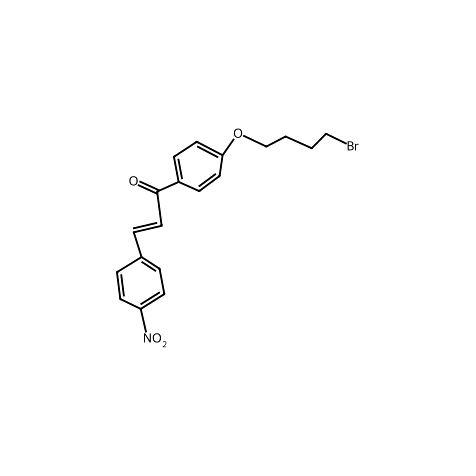 O=C(C=Cc1ccc([N+](=O)[O-])cc1)c1ccc(OCCCCBr)cc1